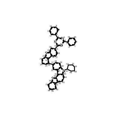 c1ccc(-c2nc(-c3ccccc3)nc(-c3ccc4c(c3)sc3cccc(-c5ccc6c(c5)c5c7sc8ccccc8c7ccc5n6C5CCCCC5)c34)n2)cc1